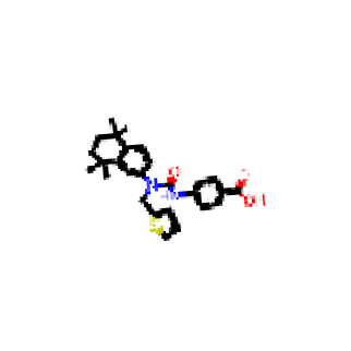 CC1(C)CCC(C)(C)c2cc(N(Cc3cccs3)C(=O)Nc3ccc(C(=O)O)cc3)ccc21